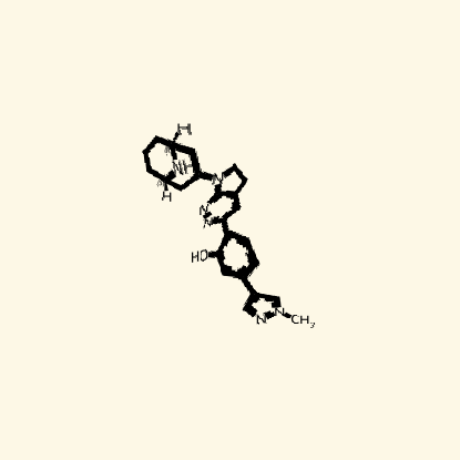 Cn1cc(-c2ccc(-c3cc4c(nn3)N(C3C[C@H]5CCC[C@@H](C3)N5)CC4)c(O)c2)cn1